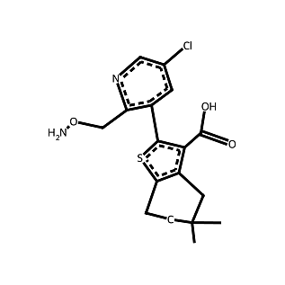 CC1(C)CCc2sc(-c3cc(Cl)cnc3CON)c(C(=O)O)c2C1